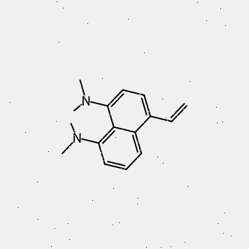 C=Cc1ccc(N(C)C)c2c(N(C)C)cccc12